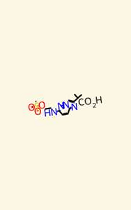 CC(C)(C(=O)O)c1cn2nc(NCCOS(C)(=O)=O)ccc2n1